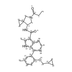 CCC(=O)N1CC(NC(=O)c2c(C)[nH]c3c(-c4cc(C)ccc4OCC4CC4)ncnc23)C2(CC2)C1